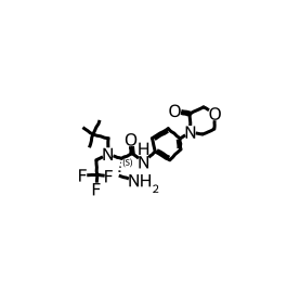 CC(C)(C)CN(CC(F)(F)F)[C@@H](CN)C(=O)Nc1ccc(N2CCOCC2=O)cc1